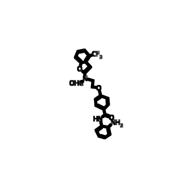 Nc1ccccc1NC(=O)c1ccc(OCCN(C=O)c2cc3c(C(F)(F)F)cccc3o2)cc1